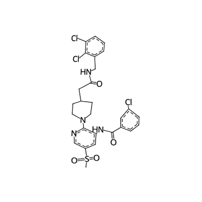 CS(=O)(=O)c1cnc(N2CCC(CC(=O)NCc3cccc(Cl)c3Cl)CC2)c(NC(=O)c2cccc(Cl)c2)c1